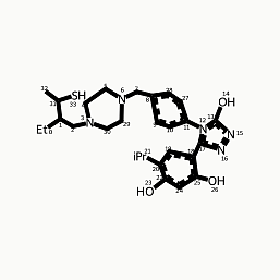 CCC(CN1CCN(Cc2ccc(-n3c(O)nnc3-c3cc(C(C)C)c(O)cc3O)cc2)CC1)C(C)S